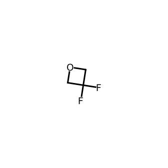 FC1(F)COC1